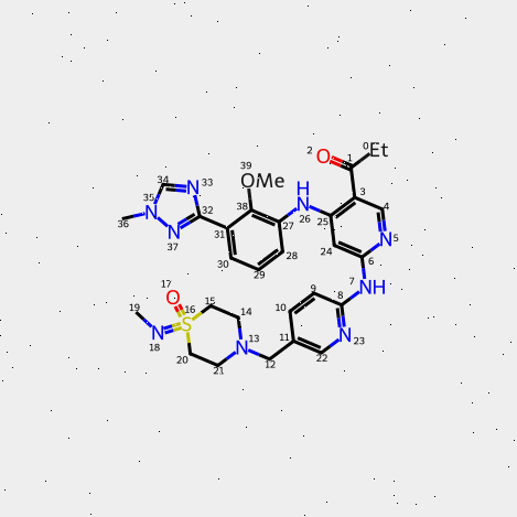 CCC(=O)c1cnc(Nc2ccc(CN3CCS(=O)(=NC)CC3)cn2)cc1Nc1cccc(-c2ncn(C)n2)c1OC